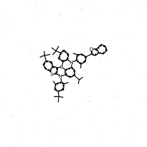 Cc1cc(-c2cc3ccccc3o2)cc(C)c1N1c2ccc(C(C)(C)C)cc2B2c3c1cc(C(C)C)cc3N(c1c(C)cc(C(C)(C)C)cc1C)c1sc3ccc(C(C)(C)C)cc3c12